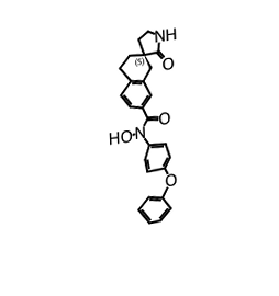 O=C(c1ccc2c(c1)C[C@]1(CCNC1=O)CC2)N(O)c1ccc(Oc2ccccc2)cc1